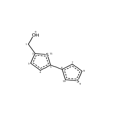 OCc1ccc(-c2ccsc2)s1